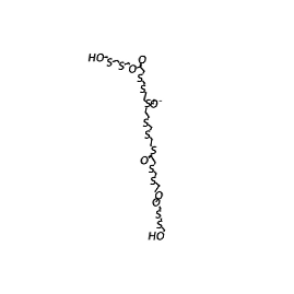 O=C(CSCSCC[S+]([O-])CCSCSCCSC(=O)CSCSCCOOCSCSCO)OCSCSCO